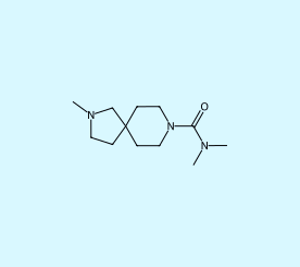 CN1CCC2(CCN(C(=O)N(C)C)CC2)C1